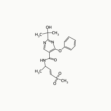 CC(C=CS(C)(=O)=O)NC(=O)c1cnc(C(C)(C)O)nc1Oc1ccccc1